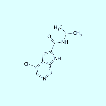 CC(C)NC(=O)c1cc2c(Cl)cncc2[nH]1